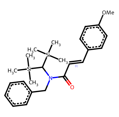 COc1ccc(/C=C/C(=O)N(Cc2ccccc2)C([Si](C)(C)C)[Si](C)(C)C)cc1